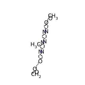 C=CC(=O)OCCCCOc1ccc(/N=N/c2ccc(/N=N/c3ccc(/N=N/c4ccc(OCCOC)cc4)cc3)c(C)c2)cc1